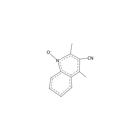 Cc1c(C#N)c(C)[n+]([O-])c2ccccc12